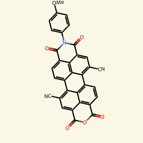 COc1ccc(N2C(=O)c3ccc4c5c(C#N)cc6c7c(ccc(c8c(C#N)cc(c3c48)C2=O)c75)C(=O)OC6=O)cc1